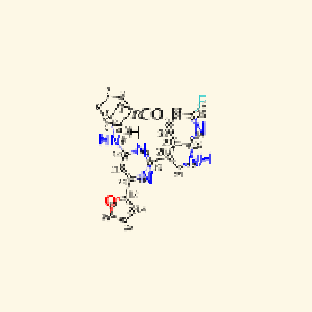 O=C(O)C1C2CCC(CC2)[C@@H]1Nc1cc(-c2ccco2)nc(-c2c[nH]c3nc(F)ccc23)n1